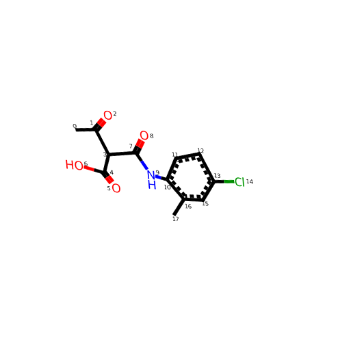 CC(=O)C(C(=O)O)C(=O)Nc1ccc(Cl)cc1C